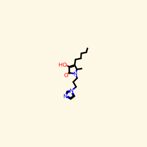 CCCCCC1=C(O)C(=O)N(CCCn2ccnc2)C1C